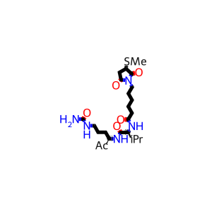 CSC1CC(=O)N(CCCCCC(=O)N[C@H](C(=O)N[C@@H](CCCNC(N)=O)C(C)=O)C(C)C)C1=O